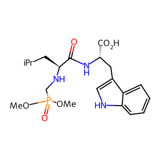 COP(=O)(CN[C@@H](CC(C)C)C(=O)N[C@@H](Cc1c[nH]c2ccccc12)C(=O)O)OC